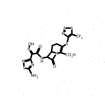 Nc1nc(/C(=N/O)C(=O)NC2C(=O)N3C(C(=O)O)=C(Sc4nnsc4C(F)(F)F)CCC23)ns1